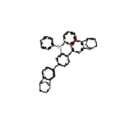 c1ccc(N(c2ccccc2)c2cc(-c3ccc4c(c3)C3CCC4C3)ccc2-c2ccc3c(c2)C2CCC3C2)cc1